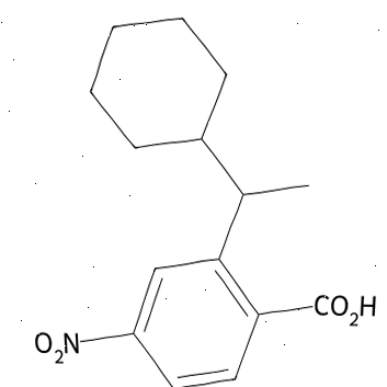 CC(c1cc([N+](=O)[O-])ccc1C(=O)O)C1CCCCC1